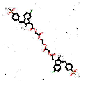 CC1=C(CC(=O)OCC(=O)OCCOC(=O)COC(=O)CC2=C(C)/C(=C/c3ccc(S(C)(=O)=O)cc3)c3ccc(F)cc32)c2cc(F)ccc2/C1=C\c1ccc(S(C)(=O)=O)cc1